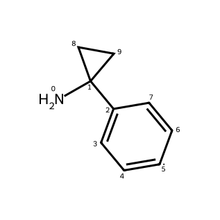 NC1(c2cc[c]cc2)CC1